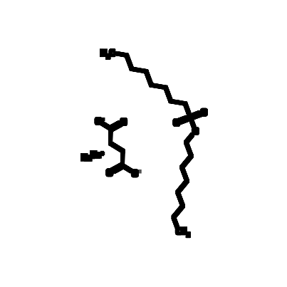 CCCCCCCCOS(=O)(=O)CCCCCCCC.O=C([O-])CCC(=O)[O-].[Na+].[Na+]